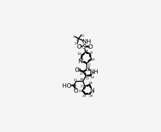 CC(C)(C)NS(=O)(=O)c1ccc(-n2[nH]cc(C(CC(=O)O)c3cccnc3)c2=O)nc1